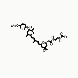 CCC(=O)NCCNC(=O)C[C@@H]1CC2(CO2)CC(/C=C/C(C)=C/CC2OC(C)C(NC(=O)/C=C\C(C)OC)CC2C)O1